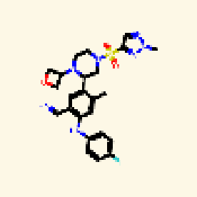 Cc1cc(Nc2ccc(F)cc2)c(C=N)cc1[C@@H]1CN(S(=O)(=O)c2cnn(C)n2)CCN1C1COC1